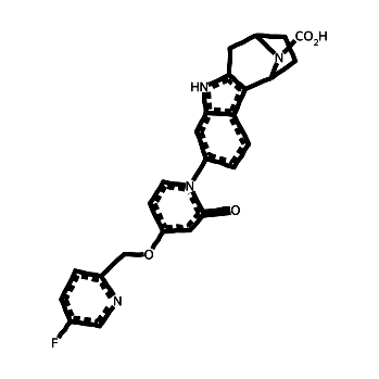 O=C(O)N1C2CCC1c1c([nH]c3cc(-n4ccc(OCc5ccc(F)cn5)cc4=O)ccc13)C2